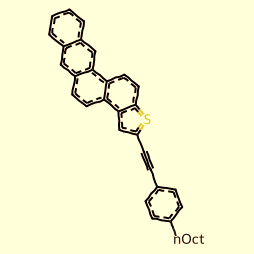 CCCCCCCCc1ccc(C#Cc2cc3c(ccc4c5cc6ccccc6cc5ccc34)s2)cc1